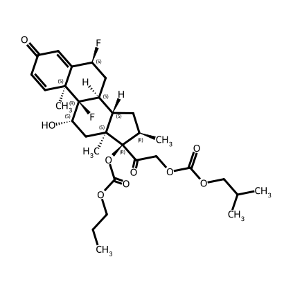 CCCOC(=O)O[C@]1(C(=O)COC(=O)OCC(C)C)[C@H](C)C[C@H]2[C@@H]3C[C@H](F)C4=CC(=O)C=C[C@]4(C)[C@@]3(F)[C@@H](O)C[C@@]21C